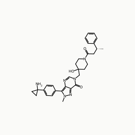 C[C@H](CC(=O)N1CCC(O)(Cn2cnc3c(-c4ccc(C5(N)CC5)cc4)n(C)nc3c2=O)CC1)c1ccccc1